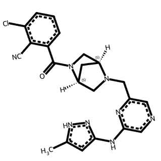 Cc1cc(Nc2cncc(CN3C[C@@H]4C[C@H]3CN4C(=O)c3cccc(Cl)c3C#N)n2)n[nH]1